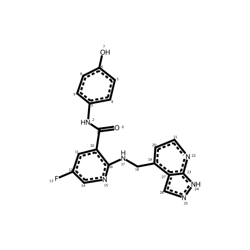 O=C(Nc1ccc(O)cc1)c1cc(F)cnc1NCc1ccnc2[nH]ncc12